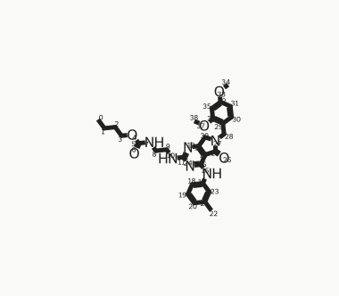 CCCCOC(=O)NCCNc1nc2c(c(Nc3cccc(C)c3)n1)C(=O)N(Cc1ccc(OC)cc1OC)C2